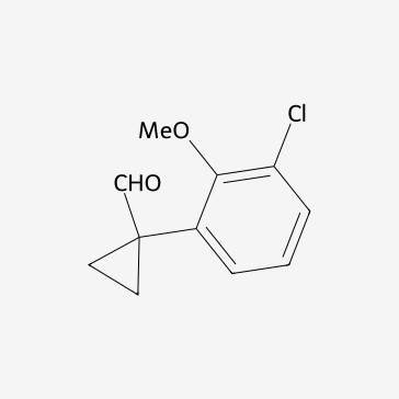 COc1c(Cl)cccc1C1(C=O)CC1